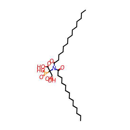 CCCCCCCCCCCCCC(=O)N(C(=O)CCCCCCCCCCCCC)C(CO)(C(=O)O)P(=O)(O)O